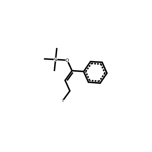 C[Si](C)(C)O/C(=C/CI)c1ccccc1